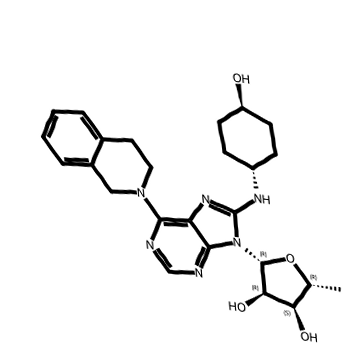 C[C@H]1O[C@@H](n2c(N[C@H]3CC[C@H](O)CC3)nc3c(N4CCc5ccccc5C4)ncnc32)[C@H](O)[C@@H]1O